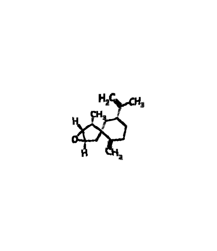 C=C(C)[C@@H]1CCC(=C)[C@@]2(C1)C[C@@H]1O[C@@H]1[C@@H]2C